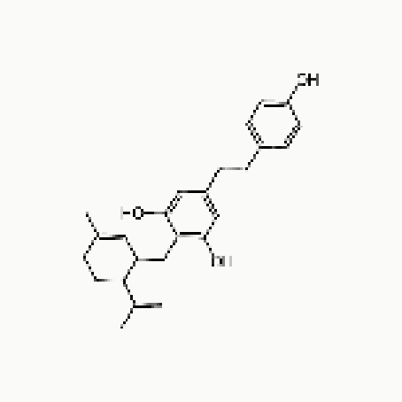 C=C(C)C1CCC(C)=CC1Cc1c(O)cc(CCc2ccc(O)cc2)cc1O